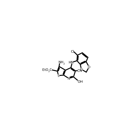 CCOC(=O)c1sc2nc(O)c(C#N)c(Nc3c(Cl)ccc4c3OCO4)c2c1N